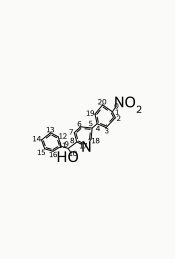 O=[N+]([O-])c1ccc(-c2ccc(C(O)c3ccccc3)nc2)cc1